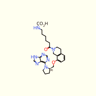 O=C(O)NCCCCCC(=O)N1CCc2cccc(OC[C@H]3CCCN3c3ncnc4[nH]cnc34)c2C1